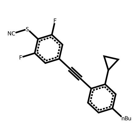 CCCCc1ccc(C#Cc2cc(F)c(SC#N)c(F)c2)c(C2CC2)c1